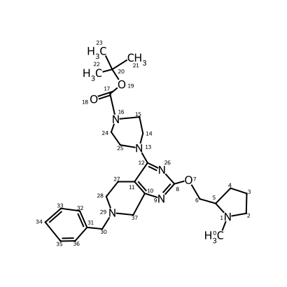 CN1CCCC1COc1nc2c(c(N3CCN(C(=O)OC(C)(C)C)CC3)n1)CCN(Cc1ccccc1)C2